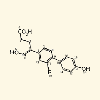 O=C(O)CCC(=NO)c1ccc(-c2ccc(O)cc2)c(F)c1